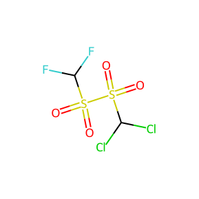 O=S(=O)(C(F)F)S(=O)(=O)C(Cl)Cl